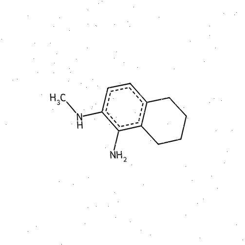 CNc1ccc2c(c1N)CCCC2